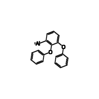 [Al][c]1cccc(Oc2ccccc2)c1Oc1ccccc1